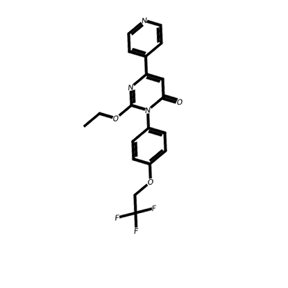 CCOc1nc(-c2ccncc2)cc(=O)n1-c1ccc(OCC(F)(F)F)cc1